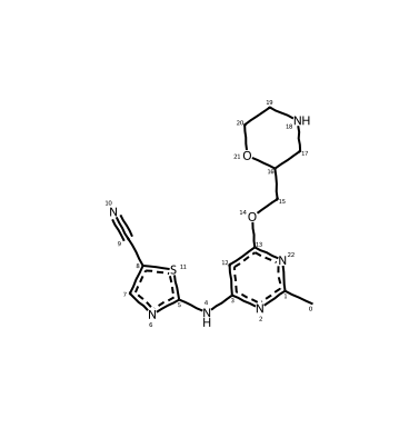 Cc1nc(Nc2ncc(C#N)s2)cc(OCC2CNCCO2)n1